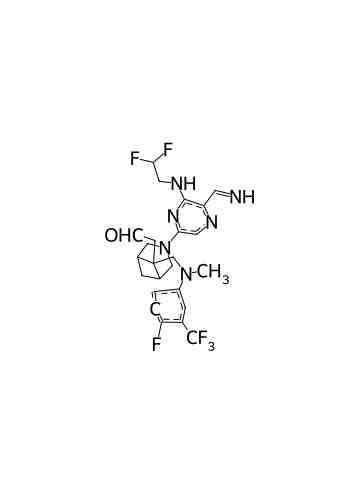 CN(CC1(CC=O)C2CC1CN(c1cnc(C=N)c(NCC(F)F)n1)C2)c1ccc(F)c(C(F)(F)F)c1